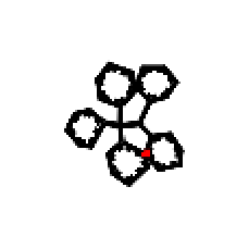 c1ccc([C](c2ccccc2)C(c2ccccc2)(c2ccccc2)c2ccccc2)cc1